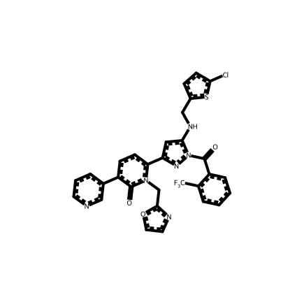 O=C(c1ccccc1C(F)(F)F)n1nc(-c2ccc(-c3cccnc3)c(=O)n2Cc2ncco2)cc1NCc1ccc(Cl)s1